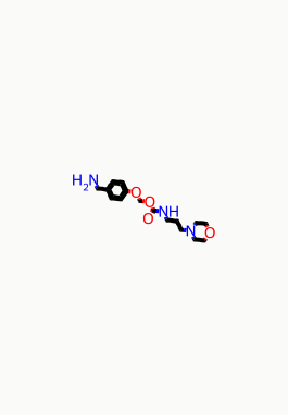 NCc1ccc(OCOC(=O)NCCCN2CCOCC2)cc1